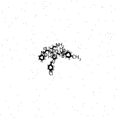 Cc1ccc(S(=O)(=O)NCC(=O)N2C[C@H](OCc3ccc(Cl)cc3)C[C@H]2C(=O)N[C@@H](CCCCN)C(=O)c2nc3ccccc3o2)cc1